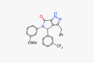 COc1cccc(N2C(=O)c3[nH]nc(CC(C)C)c3C2c2cccc(C(F)(F)F)c2)c1